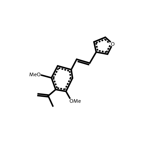 C=C(C)c1c(OC)cc(C=Cc2ccoc2)cc1OC